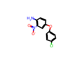 Nc1ccc(Oc2ccc(Cl)cc2)cc1[N+](=O)[O-]